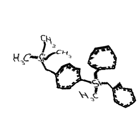 C[Si](C)(C)Cc1ccc([Si](C)(c2ccccc2)c2ccccc2)cc1